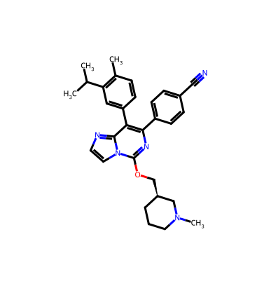 Cc1ccc(-c2c(-c3ccc(C#N)cc3)nc(OC[C@@H]3CCCN(C)C3)n3ccnc23)cc1C(C)C